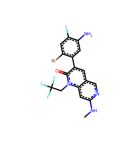 CNc1cc2c(cn1)cc(-c1cc(N)c(F)cc1Br)c(=O)n2CC(F)(F)F